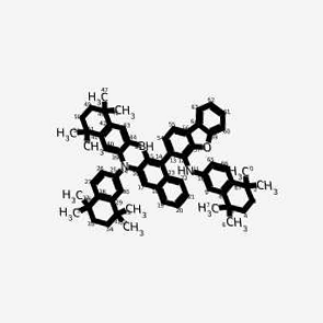 CC1(C)CCC(C)(C)c2cc(Nc3c(-c4c5c(cc6ccccc46)N(c4ccc6c(c4)C(C)(C)CCC6(C)C)c4cc6c(cc4B5)C(C)(C)CCC6(C)C)ccc4c3oc3ccccc34)ccc21